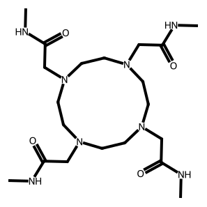 CNC(=O)CN1CCN(CC(=O)NC)CCN(CC(=O)NC)CCN(CC(=O)NC)CC1